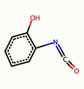 O=C=Nc1ccccc1O